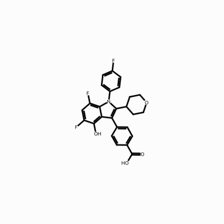 O=C(O)c1ccc(-c2c(C3CCOCC3)n(-c3ccc(F)cc3)c3c(F)cc(F)c(O)c23)cc1